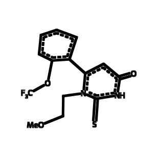 COCCn1c(-c2ccccc2OC(F)(F)F)cc(=O)[nH]c1=S